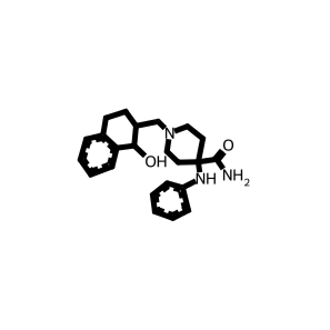 NC(=O)C1(Nc2ccccc2)CCN(CC2CCc3ccccc3C2O)CC1